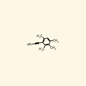 CCCC#Cc1c(C)cc(C)c(C)c1C